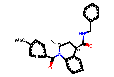 COc1ccc(C(=O)N2c3ccccc3[C@H](C(=O)NCc3ccccc3)C[C@H]2C)cc1